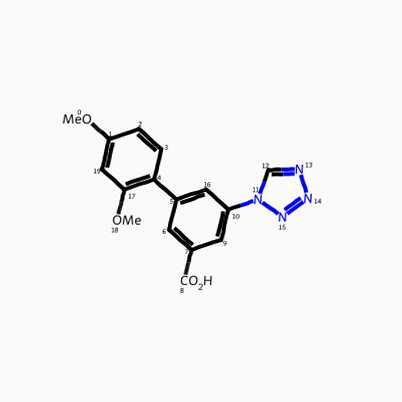 COc1ccc(-c2cc(C(=O)O)cc(-n3cnnn3)c2)c(OC)c1